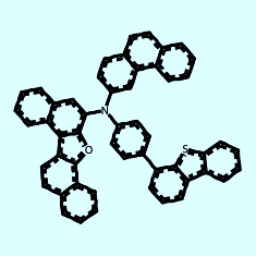 c1ccc2c(c1)ccc1ccc(N(c3ccc(-c4cccc5c4sc4ccccc45)cc3)c3cc4ccccc4c4c3oc3c5ccccc5ccc34)cc12